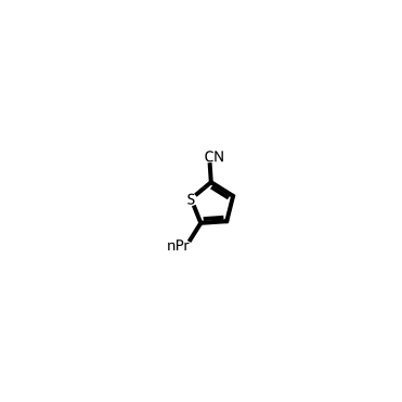 CCCc1ccc(C#N)s1